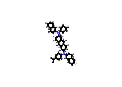 CC(C)c1ccc(N(c2ccc3ccccc3c2)c2ccc3cc4cc(N(c5ccccc5)c5ccc6ccccc6c5)ccc4cc3c2)cc1